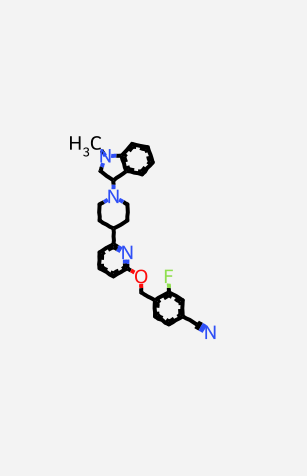 CN1CC(N2CCC(c3cccc(OCc4ccc(C#N)cc4F)n3)CC2)c2ccccc21